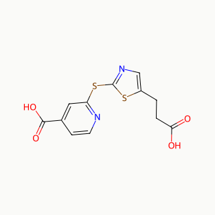 O=C(O)CCc1cnc(Sc2cc(C(=O)O)ccn2)s1